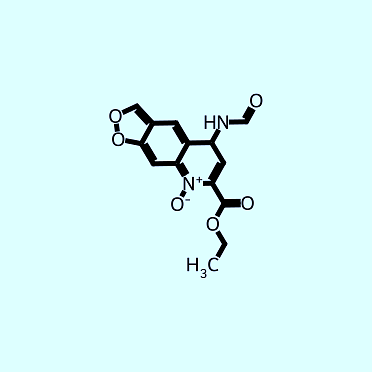 CCOC(=O)C1=CC(NC=O)c2cc3c(cc2=[N+]1[O-])OOC=3